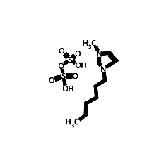 CCCCCCN1C=CN(C)C1.O=S(=O)(O)OS(=O)(=O)O